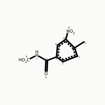 Cc1ccc(C(=O)NC(=O)O)cc1[N+](=O)[O-]